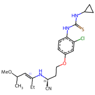 CC/C(=C\C(C)OC)N[C@H](C#N)CCOc1ccc(NC(=S)NC2CC2)c(Cl)c1